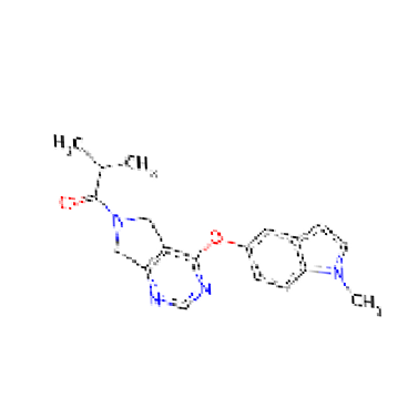 CC(C)C(=O)N1Cc2ncnc(Oc3ccc4c(ccn4C)c3)c2C1